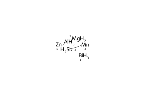 [AlH3].[BiH3].[MgH2].[Mn][SbH2].[Zn]